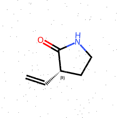 C=C[C@H]1CCNC1=O